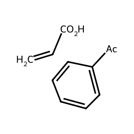 C=CC(=O)O.CC(=O)c1ccccc1